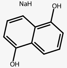 Oc1cccc2c(O)cccc12.[NaH]